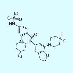 CCS(=O)(=O)Nc1ccc(C(=O)Nc2cc3c(c(N4CCC(F)(F)CC4)c2)OCC3)c(N2CCC3(CC2)CC3)c1